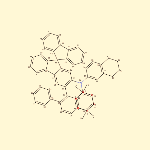 CC1(C)CCC(C)(C)c2c1ccc(-c1ccccc1)c2-c1cc2c(cc1N(c1ccccc1)c1ccc3c(c1)CCCC3)C1(c3ccccc3-c3ccccc31)c1ccccc1-2